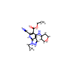 CCOC(=O)c1c(C#N)nc2c(cnn2CC)c1NC1CCOCC1